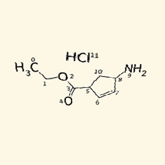 CCOC(=O)C1C=CC(N)C1.Cl